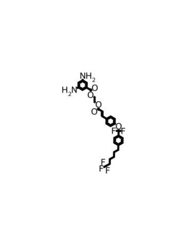 Nc1cc(N)cc(C(=O)OCCOC(=O)/C=C/c2ccc(OC(F)(F)c3ccc(CCCCCC(F)(F)F)cc3)cc2)c1